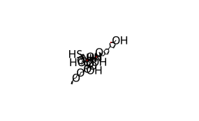 C#CCOCCOCCO[C@]1(C(=O)O)C[C@H](O)[C@@H](NC(=O)CS)[C@H]([C@H](O)[C@H](O)CNC(=O)Cc2ccc(-c3ccc(O)cc3)cc2)O1